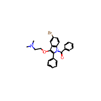 CN(C)CCOc1c(-c2ccccc2)n(C(=O)c2ccccc2)c2ccc(Br)cc12